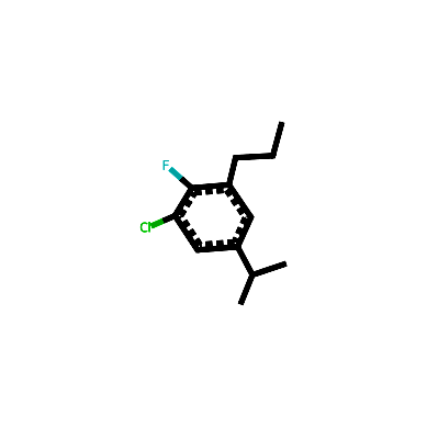 CCCc1cc(C(C)C)cc(Cl)c1F